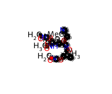 C=CC(=O)N1CCC(Oc2cc(NS(C)(=O)=O)cc(-c3ccc(C4CN(C(=O)/C=C/c5ccc(OC6CCN(C(=O)C=C)CC6)cc5-c5ccccc5C)CCC4Oc4cccc(-c5cccnc5OC)c4)cc3OC)c2)CC1